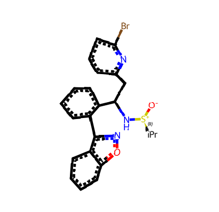 CC(C)[S@+]([O-])NC(Cc1cccc(Br)n1)c1ccccc1-c1noc2ccccc12